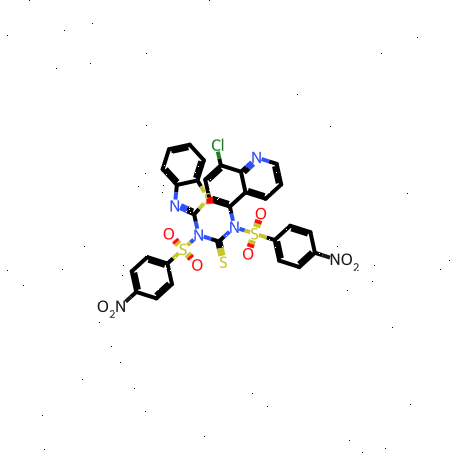 O=[N+]([O-])c1ccc(S(=O)(=O)N(C(=S)N(c2ccc(Cl)c3ncccc23)S(=O)(=O)c2ccc([N+](=O)[O-])cc2)c2nc3ccccc3s2)cc1